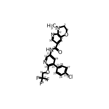 CN1CCOc2cc(C(=O)Nc3cnc(OCC(F)(F)F)c(-c4ccc(Cl)cc4)c3)cnc21